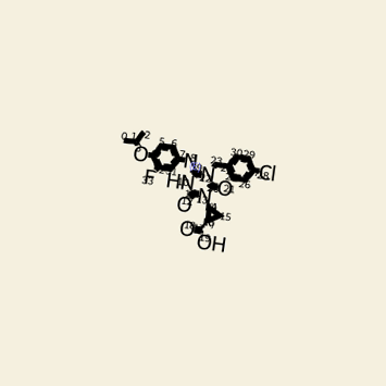 CC(C)Oc1ccc(/N=c2\[nH]c(=O)n([C@H]3C[C@H]3C(=O)O)c(=O)n2Cc2ccc(Cl)cc2)cc1F